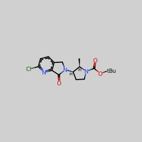 C[C@@H]1[C@H](N2Cc3ccc(Cl)nc3C2=O)CCN1C(=O)OC(C)(C)C